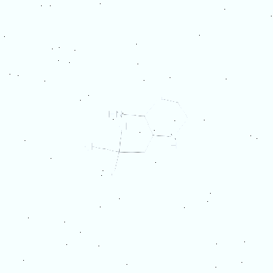 [NH]C1OCCNC1CC(Cl)(Cl)Cl